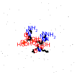 C=CCCC(=O)N(C)[C@@H](COC(C)(C)C)C(=O)O[C@H]1[C@@H](O)[C@H](n2cnc3c(N)ncnc32)O[C@@H]1COP(=O)(O)O[C@H]1C[C@H](n2ccc(N)nc2=O)O[C@@H]1COP(=O)(O)O